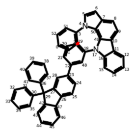 c1ccc(-n2ccc3ccc4c5ccccc5n(-c5cccc(-c6ccc7c(c6)C(c6ccccc6)(c6ccccc6)c6ccccc6-7)c5)c4c32)cc1